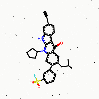 C#Cc1ccc2c(c1)[nH]c1c2c(=O)c2cc(CC(C)C)c(-c3cccc(S(=O)(=O)F)c3)cc2n1C1CCCC1